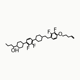 C=CCCCOc1ccc(CCC2CCC(c3ccc(C4CCC(C(O)CCC)CC4)c(F)c3F)CC2)c(F)c1F